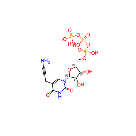 NC#CCc1cn([C@@H]2O[C@H](COP(=O)(O)OP(=O)(O)OP(=O)(O)O)[C@@H](O)[C@H]2O)c(=O)[nH]c1=O